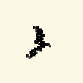 Cc1ccc(C(=O)c2ccc(O)c(-c3cc(NCCCN4CCN(C)CC4)nc(N)n3)c2)c(F)c1